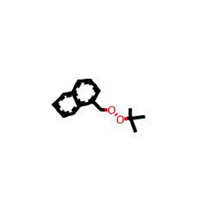 CC(C)(C)OOCc1cccc2ccccc12